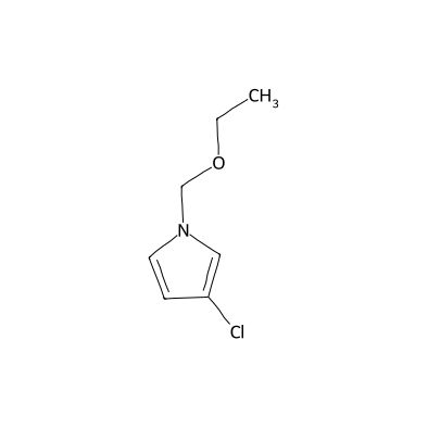 CCOCn1ccc(Cl)c1